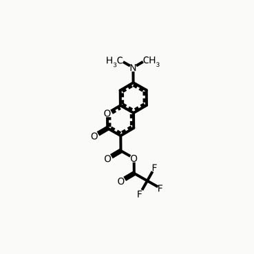 CN(C)c1ccc2cc(C(=O)OC(=O)C(F)(F)F)c(=O)oc2c1